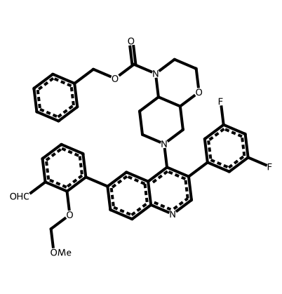 COCOc1c(C=O)cccc1-c1ccc2ncc(-c3cc(F)cc(F)c3)c(N3CCC4C(C3)OCCN4C(=O)OCc3ccccc3)c2c1